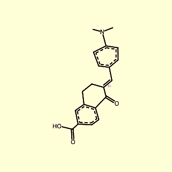 CN(C)c1ccc(/C=C2\CCc3cc(C(=O)O)ccc3C2=O)cc1